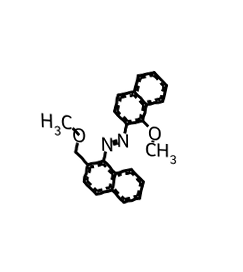 COCc1ccc2ccccc2c1N=Nc1ccc2ccccc2c1OC